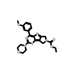 CCOC(=O)N1Cc2nc3c(-c4cccc(OC)c4)nc(N4CCOCC4)sc-3c2C1